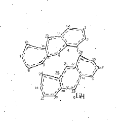 [LiH].c1ccc2cc3ccccc3cc2c1.c1ccc2cc3ccccc3cc2c1